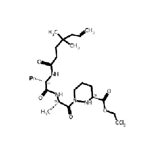 C=CCC(C)(C)CCC(=O)N[C@H](C(=O)N[C@@H](C)C(=O)N1CCC[C@@H](C(=O)OCC(Cl)(Cl)Cl)N1)C(C)C